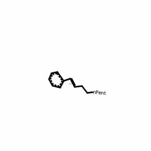 CCCCCCC/C=C/c1[c]cccc1